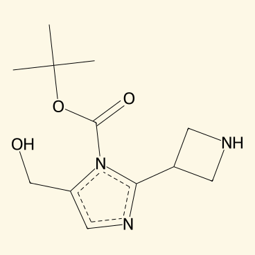 CC(C)(C)OC(=O)n1c(CO)cnc1C1CNC1